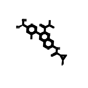 CC[C@H](O)c1cc(C)c(-c2cc3cnc(NC(=O)[C@H]4C[C@H]4F)cc3nc2C(=O)N(C)C)cn1